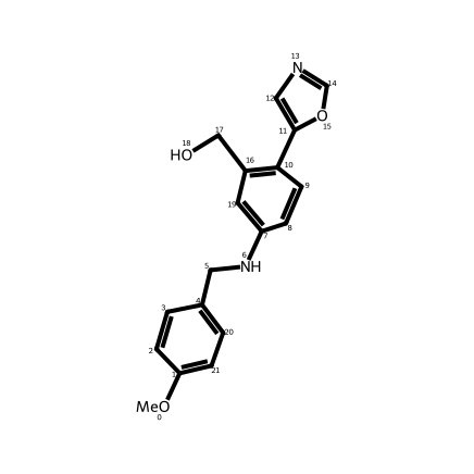 COc1ccc(CNc2ccc(-c3cnco3)c(CO)c2)cc1